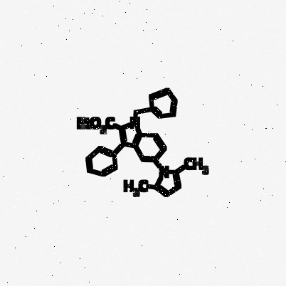 CCOC(=O)c1c(-c2ccccc2)c2cc(-n3c(C)ccc3C)ccc2n1Cc1ccccc1